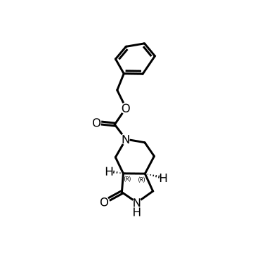 O=C1NC[C@@H]2CCN(C(=O)OCc3ccccc3)C[C@H]12